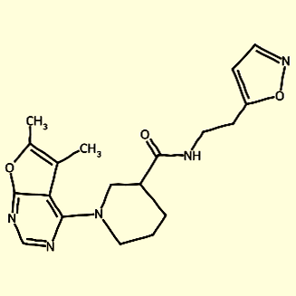 Cc1oc2ncnc(N3CCCC(C(=O)NCCc4ccno4)C3)c2c1C